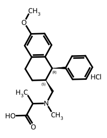 COc1ccc2c(c1)CC[C@H](CN(C)C(C)C(=O)O)[C@@H]2c1ccccc1.Cl